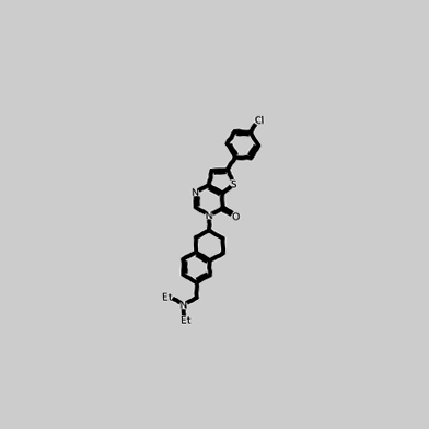 CCN(CC)Cc1ccc2c(c1)CCC(n1cnc3cc(-c4ccc(Cl)cc4)sc3c1=O)C2